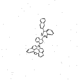 c1ccc2cc(-c3nc(-c4ccc(-n5c6ccc7cccc8oc9cccc%10ccc5c(c%109)c6c78)c5ccccc45)nc4ccccc34)ccc2c1